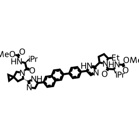 CCC1CCC(c2ncc(-c3ccc(-c4ccc5cc(C6CN=C([C@@H]7CC8(CC8)CN7C(=O)[C@@H](NC(=O)OC)C(C)C)N6)ccc5c4)cc3)[nH]2)N1C(=O)[C@@H](NC(=O)OC)C(C)C